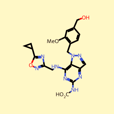 COc1cc(CO)ccc1Cn1ncc2nc(NC(=O)O)nc(NCc3noc(C4CC4)n3)c21